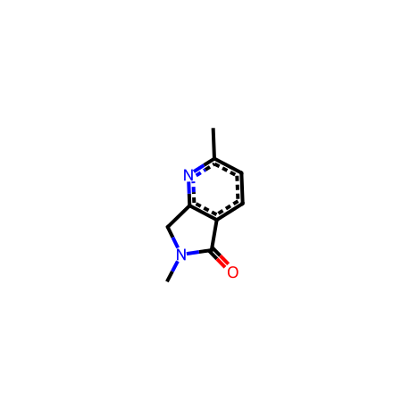 Cc1ccc2c(n1)CN(C)C2=O